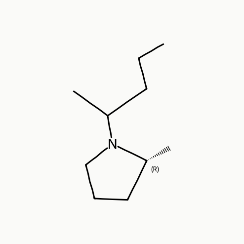 CCCC(C)N1CCC[C@H]1C